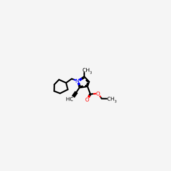 C#Cc1c(C(=O)OCC)cc(C)n1CC1CCCCC1